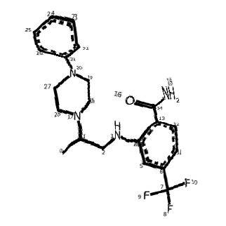 CC(CNc1cc(C(F)(F)F)ccc1C(N)=O)N1CCN(c2ccccc2)CC1